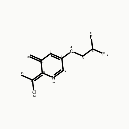 C=c1cc(OCC(F)F)cn/c1=C(/C)Cl